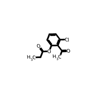 CCC(=O)Oc1cccc(Cl)c1C(C)=O